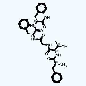 C[C@@H](O)[C@H](NC(=O)[C@@H](N)Cc1ccccc1)C(=O)NCC(=O)N[C@@H](Cc1ccccc1)C(=O)N[C@@H](Cc1ccccc1)C(=O)O